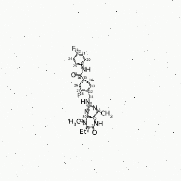 CC[C@@H]1C(=O)Nc2c(C)nc(NCc3ccc(C(=O)Nc4ccc(F)cc4)cc3F)nc2N1C